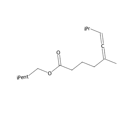 CCCC(C)COC(=O)CCCC(C)=C=CC(C)C